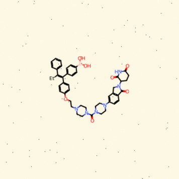 CC/C(=C(\c1ccc(OCCN2CCN(C(=O)N3CCN(c4ccc5c(c4)CN(C4CCC(=O)NC4=O)C5=O)CC3)CC2)cc1)c1ccc(B(O)O)cc1)c1ccccc1